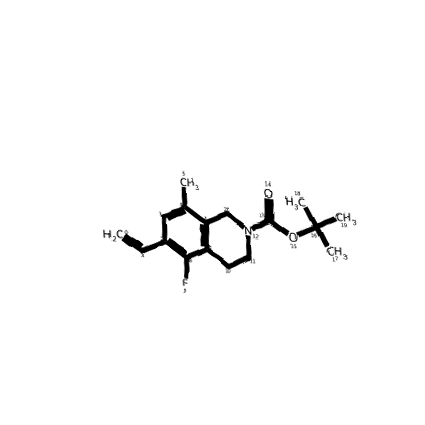 C=Cc1cc(C)c2c(c1F)CCN(C(=O)OC(C)(C)C)C2